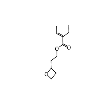 CC=C(CC)C(=O)OCCC1CCO1